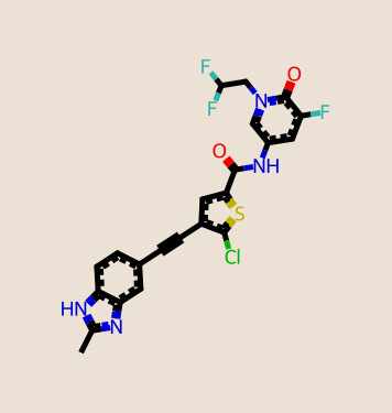 Cc1nc2cc(C#Cc3cc(C(=O)Nc4cc(F)c(=O)n(CC(F)F)c4)sc3Cl)ccc2[nH]1